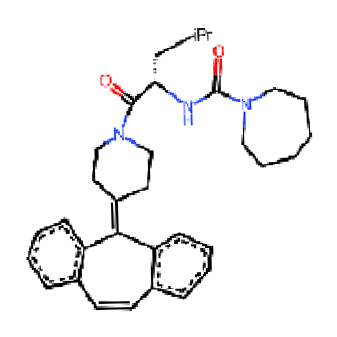 CC(C)C[C@H](NC(=O)N1CCCCCC1)C(=O)N1CCC(=C2c3ccccc3C=Cc3ccccc32)CC1